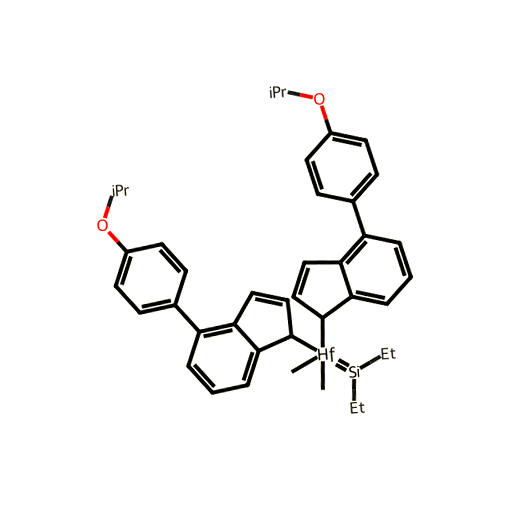 CC[Si](CC)=[Hf]([CH3])([CH3])([CH]1C=Cc2c(-c3ccc(OC(C)C)cc3)cccc21)[CH]1C=Cc2c(-c3ccc(OC(C)C)cc3)cccc21